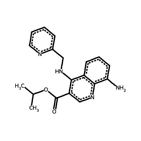 CC(C)OC(=O)c1cnc2c(N)cccc2c1NCc1ccccn1